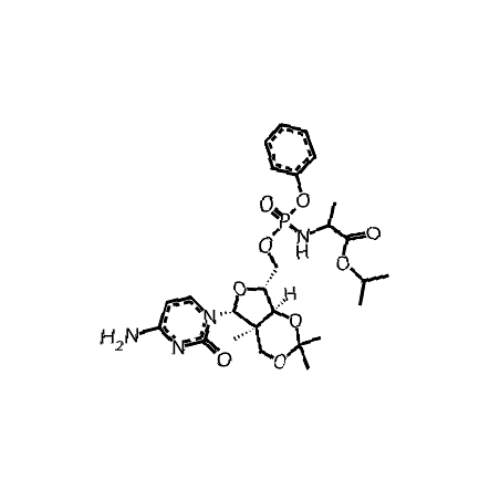 CC(C)OC(=O)C(C)NP(=O)(OC[C@H]1O[C@@H](n2ccc(N)nc2=O)[C@]2(C)COC(C)(C)O[C@H]12)Oc1ccccc1